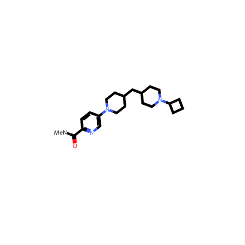 CNC(=O)c1ccc(N2CCC(CC3CCN(C4CCC4)CC3)CC2)cn1